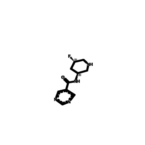 O=C(N[C@@H]1CNC[C@@H](F)C1)c1cncnc1